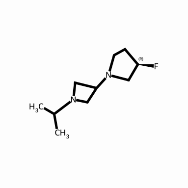 CC(C)N1CC(N2CC[C@@H](F)C2)C1